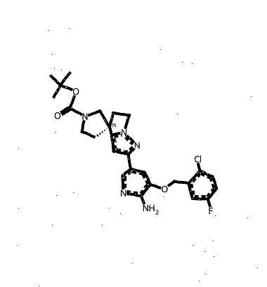 CC(C)(C)OC(=O)N1CC[C@@]2(CCn3nc(-c4cnc(N)c(OCc5cc(F)ccc5Cl)c4)cc32)C1